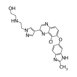 Cc1nc2ccc(Oc3ccc4ncc(-c5cnn(CCNCCO)c5)nc4c3Cl)cc2[nH]1